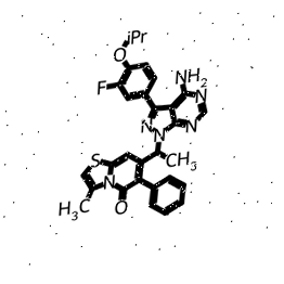 Cc1csc2cc(C(C)n3nc(-c4ccc(OC(C)C)c(F)c4)c4c(N)ncnc43)c(-c3ccccc3)c(=O)n12